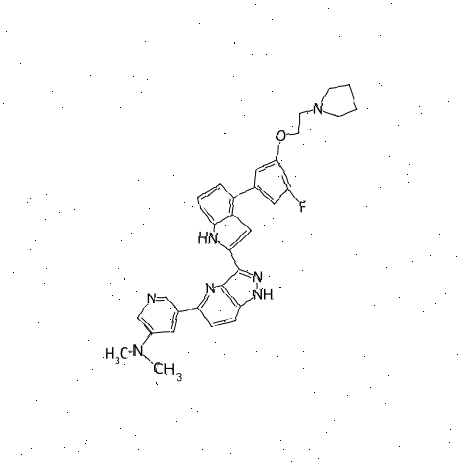 CN(C)c1cncc(-c2ccc3[nH]nc(-c4cc5c(-c6cc(F)cc(OCCN7CCCC7)c6)cccc5[nH]4)c3n2)c1